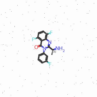 C[C@H](N)c1nc2c(F)ccc(F)c2c(=O)n1-c1cccc(F)c1